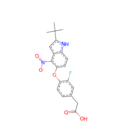 CC(C)(C)c1cc2c([N+](=O)[O-])c(Oc3ccc(CC(=O)O)cc3F)ccc2[nH]1